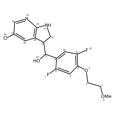 COCCOc1cc(F)c(C(O)C2CNc3ncc(Cl)cc32)cc1F